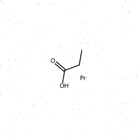 CCC(=O)O.[Pr]